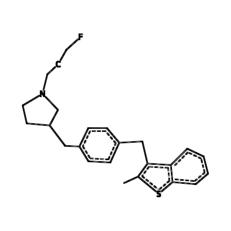 Cc1sc2ccccc2c1Cc1ccc(CC2CCN(CCCF)C2)cc1